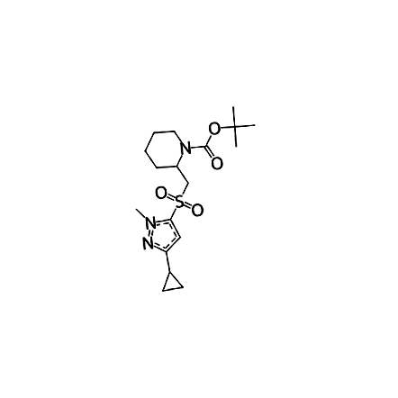 Cn1nc(C2CC2)cc1S(=O)(=O)CC1CCCCN1C(=O)OC(C)(C)C